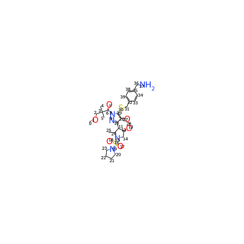 COCC(C)(C)C(=O)n1nc(C2C(=O)CN(S(=O)(=O)N3CCCC3)C2C)c(OC)c1SCc1ccc(CN)cc1